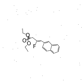 CCOP(=O)(C/C(F)=C/c1ccc2ccccc2c1)OCC